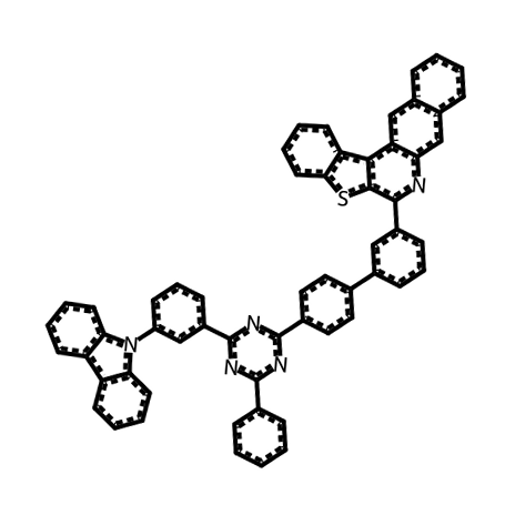 c1ccc(-c2nc(-c3ccc(-c4cccc(-c5nc6cc7ccccc7cc6c6c5sc5ccccc56)c4)cc3)nc(-c3cccc(-n4c5ccccc5c5ccccc54)c3)n2)cc1